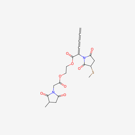 C=C=C=C=C(C(=O)OCCOC(=O)CN1C(=O)CC(C)C1=O)N1C(=O)CC(SC)C1=O